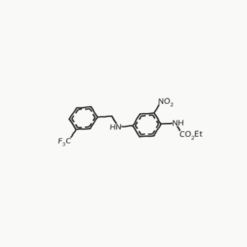 CCOC(=O)Nc1ccc(NCc2cccc(C(F)(F)F)c2)cc1[N+](=O)[O-]